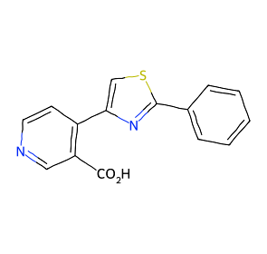 O=C(O)c1cnccc1-c1csc(-c2ccccc2)n1